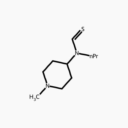 CCCN(C=S)C1CCN(C)CC1